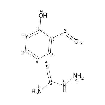 NNC(N)=S.O=Cc1ccccc1O